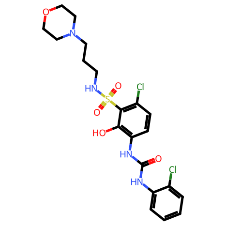 O=C(Nc1ccccc1Cl)Nc1ccc(Cl)c(S(=O)(=O)NCCCN2CCOCC2)c1O